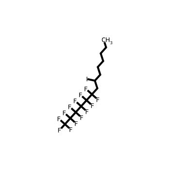 CCCCCCC(I)CC(F)(F)C(F)(F)C(F)(F)C(F)(F)C(F)(F)C(F)(F)F